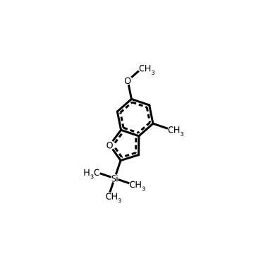 COc1cc(C)c2cc([Si](C)(C)C)oc2c1